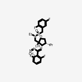 CCN(CC1(C)CC[C@H](C(C)C)[C@@H]1/C=C(\N=N/C)c1c(F)cccc1F)S(=O)(=O)Cc1cc(F)ccc1F